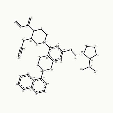 C=CC(=C)C1CCN(c2nc(OC[C@@H]3CCCN3C(C)C)nc3c2CCN(c2cccc4ccccc24)C3)CC1CC#N